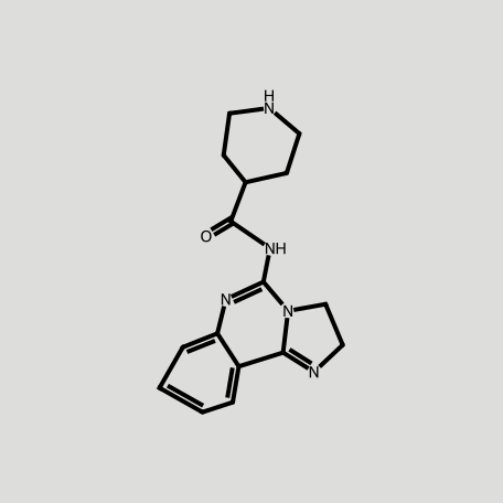 O=C(NC1=Nc2ccccc2C2=NCCN12)C1CCNCC1